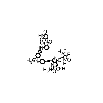 CCC1C(COc2ncc(C#CC3CCC(CN(C)C4CCC5(CC4)CC(Nc4cccc6c4C(=O)N(C4CCC(=O)NC4=O)C6=O)C5)CC3)c3nc(C(N)=O)c(OC)cc23)NC(=O)[C@H]1F